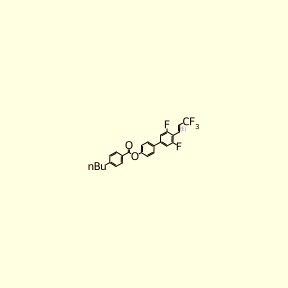 CCCCc1ccc(C(=O)Oc2ccc(-c3cc(F)c(/C=C/C(F)(F)F)c(F)c3)cc2)cc1